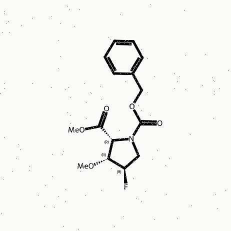 COC(=O)[C@H]1[C@@H](OC)[C@H](F)CN1C(=O)OCc1ccccc1